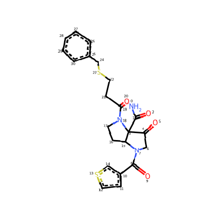 NC(=O)C12C(=O)CN(C(=O)c3ccsc3)C1CCN2C(=O)[CH]CSCc1ccccc1